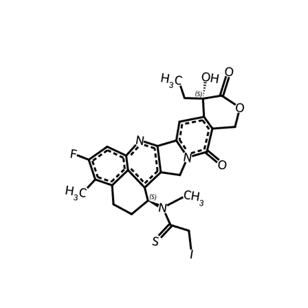 CC[C@@]1(O)C(=O)OCc2c1cc1n(c2=O)Cc2c-1nc1cc(F)c(C)c3c1c2[C@@H](N(C)C(=S)CI)CC3